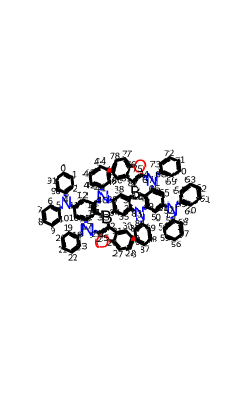 c1ccc(N(c2ccccc2)c2cc3c4c(c2)N(c2ccccc2)c2oc5ccccc5c2B4c2cc4c(cc2N3c2ccccc2)B2c3c(cc(N(c5ccccc5)c5ccccc5)cc3N(c3ccccc3)c3oc5ccccc5c32)N4c2ccccc2)cc1